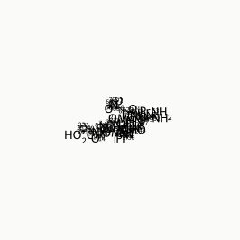 CC[C@H](C)C([C@@H](CC(=O)N1CCCC1[C@H](OC)[C@@H](C)C(=O)N[C@@H](Cc1ccccc1)C(=O)O)OC)N(C)C(=O)[C@@H](NC(=O)[C@H](C(C)C)N(C)C(=O)CNC(=O)C(CCCNC(=N)N)NC(=O)C(NC(=O)CCCCCN1C(=O)C=CC1=O)C(C)C)C(C)C